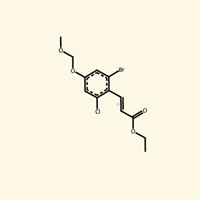 CCOC(=O)/C=C/c1c(Cl)cc(OCOC)cc1Br